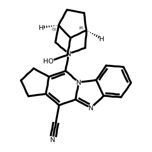 N#Cc1c2c(c(N3C[C@H]4CC[C@@H](C3)C4CO)n3c1nc1ccccc13)CCC2